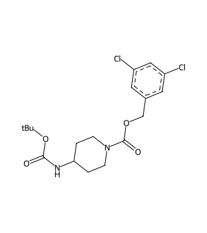 CC(C)(C)OC(=O)NC1CCN(C(=O)OCc2cc(Cl)cc(Cl)c2)CC1